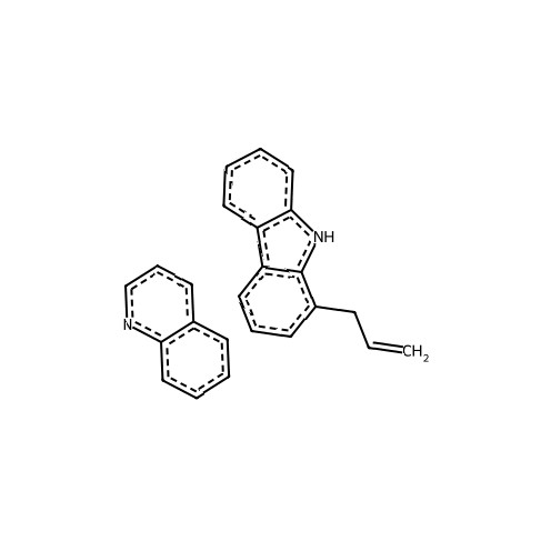 C=CCc1cccc2c1[nH]c1ccccc12.c1ccc2ncccc2c1